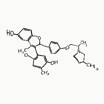 CC1=C(c2cc(O)c(C)cc2Cl)C(c2ccc(OCC(C)N3CCC(C)C3)cc2)Oc2ccc(O)cc21